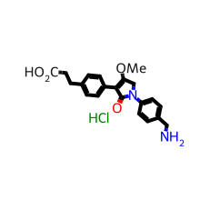 COC1=C(c2ccc(CCC(=O)O)cc2)C(=O)N(c2ccc(CN)cc2)C1.Cl